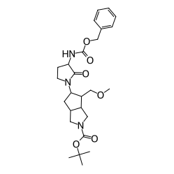 COCC1C2CN(C(=O)OC(C)(C)C)CC2CC1N1CCC(NC(=O)OCc2ccccc2)C1=O